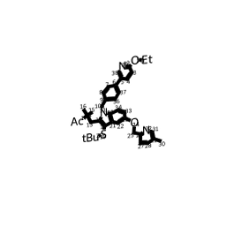 CCOc1ccc(-c2ccc(Cn3c(CC(C)(C)C(C)=O)c(SC(C)(C)C)c4cc(OCc5ccc(C)cn5)ccc43)cc2)cn1